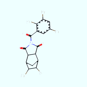 O=C(c1cc(Br)cc(Br)c1Br)N1C(=O)C2C3CC(C(Br)C3Br)C2C1=O